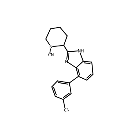 N#Cc1cccc(-c2cccc3[nH]c(C4CCCCN4C#N)nc23)c1